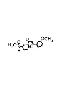 COc1cccc(-c2cc(=O)c3cc(NC(C)=O)ccc3o2)c1